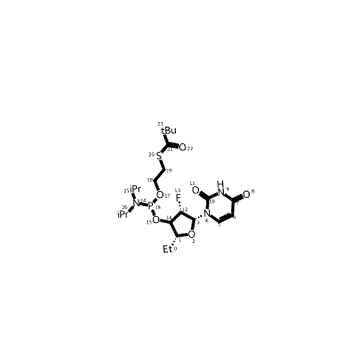 CC[C@H]1O[C@@H](n2ccc(=O)[nH]c2=O)[C@@H](F)C1OP(OCCSC(=O)C(C)(C)C)N(C(C)C)C(C)C